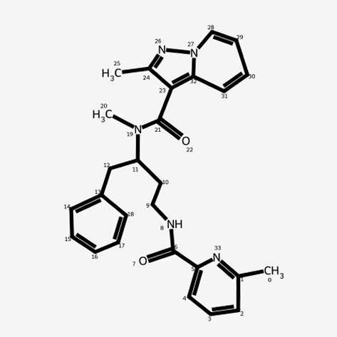 Cc1cccc(C(=O)NCCC(Cc2ccccc2)N(C)C(=O)c2c(C)nn3ccccc23)n1